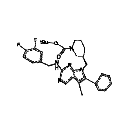 Cc1c(-c2ccccc2)n(C[C@@H]2CCCN(C(=O)OC(C)(C)C)C2)c2nc(NCc3ccc(F)c(F)c3)ncc12